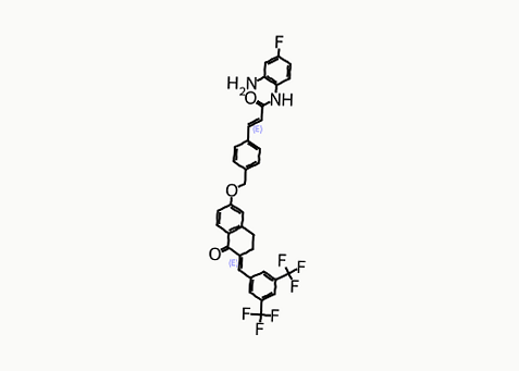 Nc1cc(F)ccc1NC(=O)/C=C/c1ccc(COc2ccc3c(c2)CC/C(=C\c2cc(C(F)(F)F)cc(C(F)(F)F)c2)C3=O)cc1